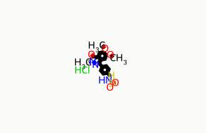 COc1cc2c(-c3ccc(CN[SH](=O)=O)cc3)nn(C)c(=O)c2cc1OC.Cl